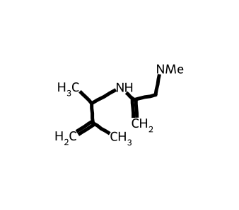 C=C(CNC)NC(C)C(=C)C